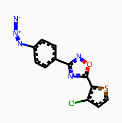 [N-]=[N+]=Nc1ccc(-c2noc(-c3sccc3Cl)n2)cc1